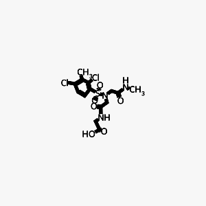 CNC(=O)CN(CC(=O)NCC(=O)O)S(=O)(=O)c1ccc(Cl)c(C)c1Cl